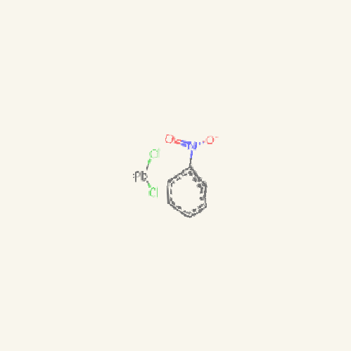 O=[N+]([O-])c1ccccc1.[Cl][Pb][Cl]